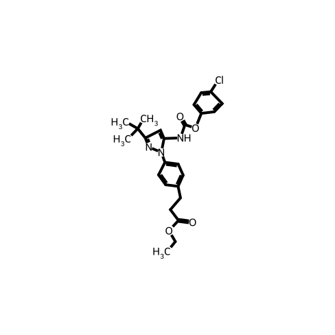 CCOC(=O)CCc1ccc(-n2nc(C(C)(C)C)cc2NC(=O)Oc2ccc(Cl)cc2)cc1